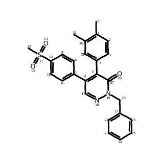 Cc1ccc(-c2c(-c3ccc(S(C)(=O)=O)cc3)cnn(Cc3ccccc3)c2=O)cc1C